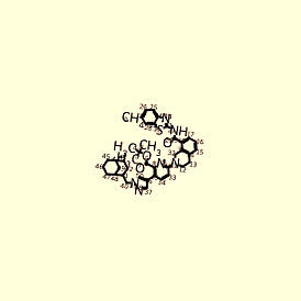 C.CC(C)(C)OC(=O)c1nc(N2CCc3cccc(C(=O)Nc4nc5ccccc5s4)c3C2)ccc1-c1cnn(CC2CCC3CCCC2C3)c1